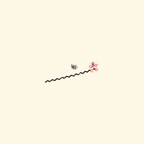 CCCCCCCCCCCCCCCCCCCCOC(=O)P(=O)([O-])[O-].[Na+].[Na+]